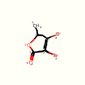 CC1OC(=O)C(Br)=C1Br